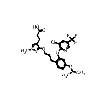 CC(C)Oc1ccc(CCCOc2nn(C)cc2CCC(=O)O)c(Oc2ncc(C(F)(F)F)cc2Cl)c1